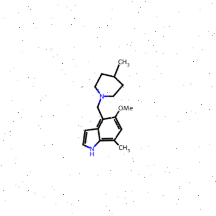 COc1cc(C)c2[nH]ccc2c1CN1CCC(C)CC1